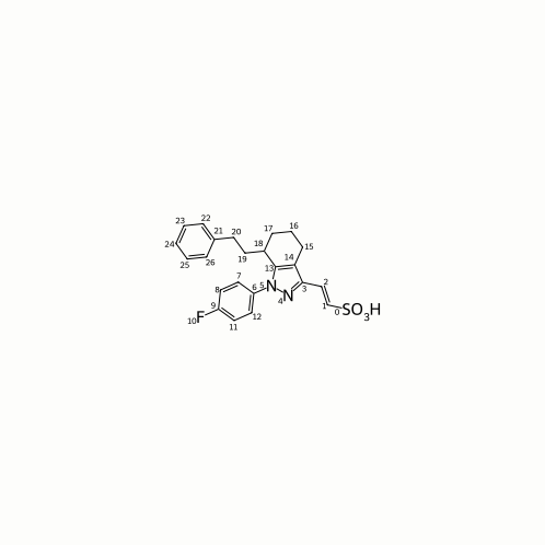 O=S(=O)(O)C=Cc1nn(-c2ccc(F)cc2)c2c1CCCC2CCc1ccccc1